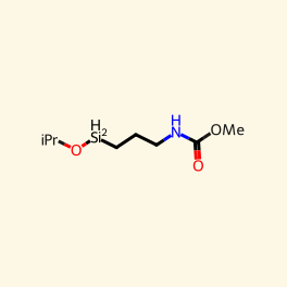 COC(=O)NCCC[SiH2]OC(C)C